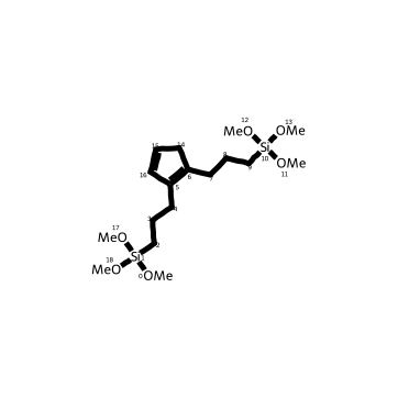 CO[Si](CCCC1=C(CCC[Si](OC)(OC)OC)CC=C1)(OC)OC